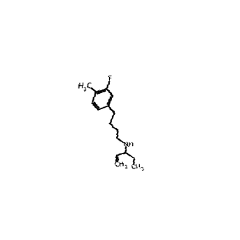 C=CC(CC)NCCCCc1ccc(C)c(F)c1